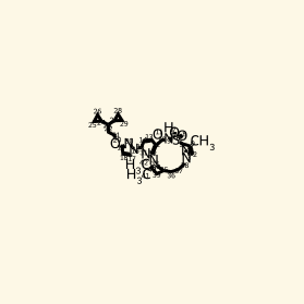 Cc1cn2nc1S(=O)(=O)NC(=O)c1ccc(-n3ccc(OCCC(C4CC4)C4CC4)n3)nc1N1CC(CCC2)CC1(C)C